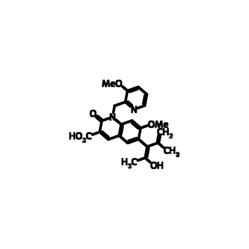 C=C(C)/C(=C(/C)O)c1cc2cc(C(=O)O)c(=O)n(Cc3ncccc3OC)c2cc1OC